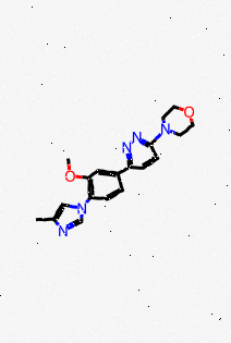 COc1cc(-c2ccc(N3CCOCC3)nn2)ccc1-n1cnc(C)c1